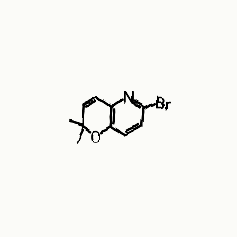 CC1(C)C=Cc2nc(Br)ccc2O1